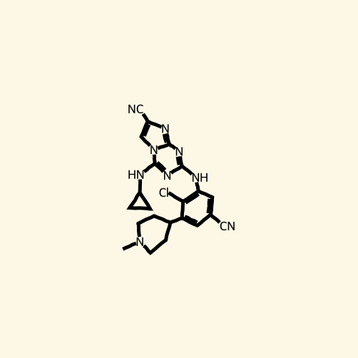 CN1CCC(c2cc(C#N)cc(Nc3nc(NC4CC4)n4cc(C#N)nc4n3)c2Cl)CC1